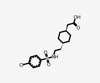 O=C(O)C[C@H]1CC[C@H](CCNS(=O)(=O)c2ccc(Cl)cc2)CC1